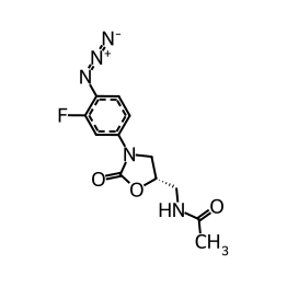 CC(=O)NC[C@H]1CN(c2ccc(N=[N+]=[N-])c(F)c2)C(=O)O1